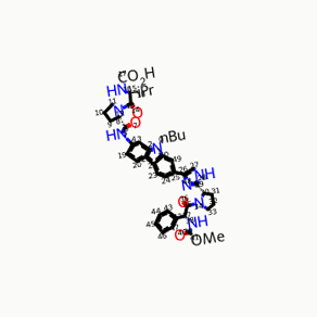 CCCCn1c2cc(NC(=O)[C@@H]3CCCN3C(=O)[C@@H](NC(=O)O)C(C)C)ccc2c2ccc(-c3c[nH]c([C@@H]4CCCN4C(=O)[C@H](NC(=O)OC)c4ccccc4)n3)cc21